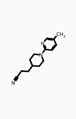 Cc1ccc(N2CCC(CCC#N)CC2)nc1